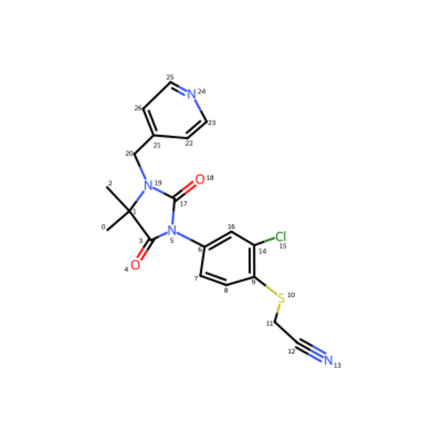 CC1(C)C(=O)N(c2ccc(SCC#N)c(Cl)c2)C(=O)N1Cc1ccncc1